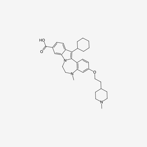 CN1CCC(CCOc2ccc3c(c2)N(C)CCn2c-3c(C3CCCCC3)c3ccc(C(=O)O)cc32)CC1